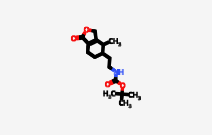 CC1C2=C(CCC1CCNC(=O)OC(C)(C)C)C(=O)OC2